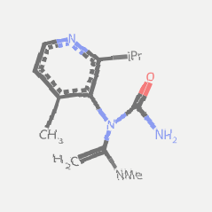 C=C(NC)N(C(N)=O)c1c(C)ccnc1C(C)C